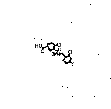 O=C(O)c1ccc(Cl)c(S(=O)(=O)NCc2ccc(Cl)cc2Cl)c1